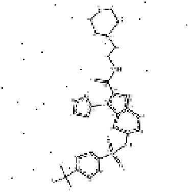 CC(C)(C)c1ccc(S(=O)(=O)Nc2ccc3[nH]c(C(=O)NCCN4CCOCC4)c(-c4ccco4)c3c2)cc1